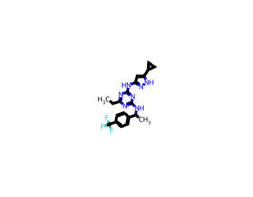 CCc1nc(Nc2cc(C3CC3)[nH]n2)nc(NC(C)c2ccc(C(F)(F)F)cc2)n1